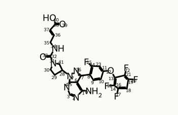 Nc1ncnc2c1c(-c1ccc(Oc3c(F)c(F)cc(F)c3F)cc1F)nn2C1CCN(C(=O)NCC=CC(=O)O)C1